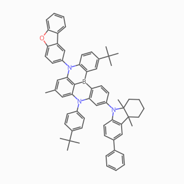 Cc1cc2c3c(c1)N(c1ccc(C(C)(C)C)cc1)c1cc(N4c5ccc(-c6ccccc6)cc5C5(C)CCCCC45C)ccc1B3c1cc(C(C)(C)C)ccc1N2c1ccc2oc3ccccc3c2c1